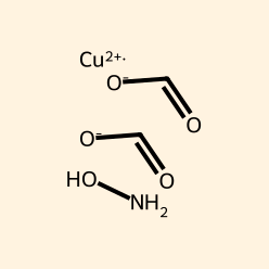 NO.O=C[O-].O=C[O-].[Cu+2]